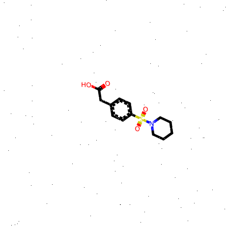 O=C(O)Cc1ccc(S(=O)(=O)N2CCCCC2)cc1